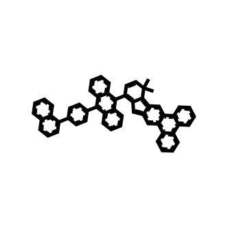 CC1(C)C=CC(c2c3ccccc3c(-c3ccc(-c4cccc5ccccc45)cc3)c3ccccc23)=C2C=c3cc4c5ccccc5c5ccccc5c4cc3=C21